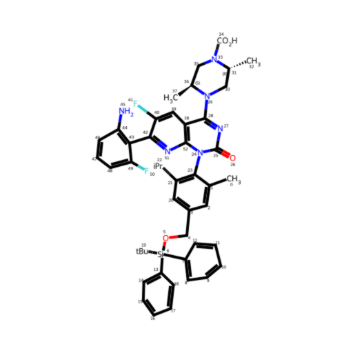 Cc1cc(CO[Si](c2ccccc2)(c2ccccc2)C(C)(C)C)cc(C(C)C)c1-n1c(=O)nc(N2C[C@@H](C)N(C(=O)O)C[C@@H]2C)c2cc(F)c(-c3c(N)cccc3F)nc21